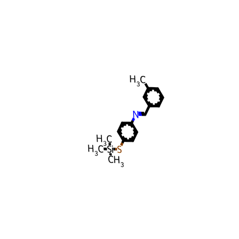 Cc1cccc(C=Nc2ccc(S[Si](C)(C)C)cc2)c1